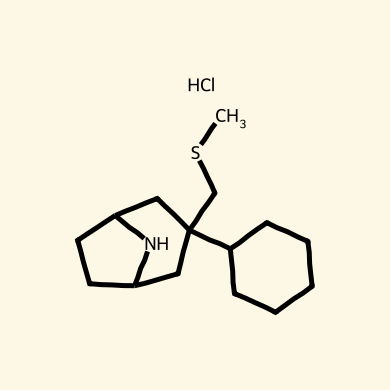 CSCC1(C2CCCCC2)CC2CCC(C1)N2.Cl